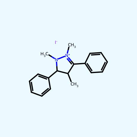 CC1C(c2ccccc2)=[N+](C)N(C)C1c1ccccc1.[I-]